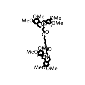 COc1ccc(C[C@@H]2c3cc(OC)c(OC)cc3CC[N+]2(C)CCC(=O)OCCCCCOC(=O)CC[N@@+]2(C)CCc3cc(OC)c(OC)cc3[C@H]2Cc2ccc(OC)c(OC)c2)cc1OC